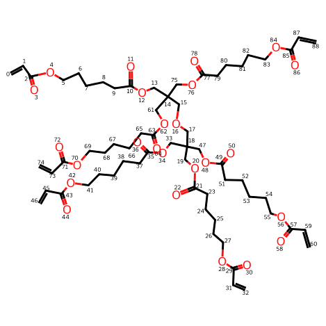 C=CC(=O)OCCCCCC(=O)OCC(COCC(COC(=O)CCCCCOC(=O)C=C)(COC(=O)CCCCCOC(=O)C=C)COC(=O)CCCCCOC(=O)C=C)(COC(=O)CCCCCOC(=O)C=C)COC(=O)CCCCCOC(=O)C=C